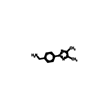 Cc1nn(-c2ccc(CN)cc2)nc1C